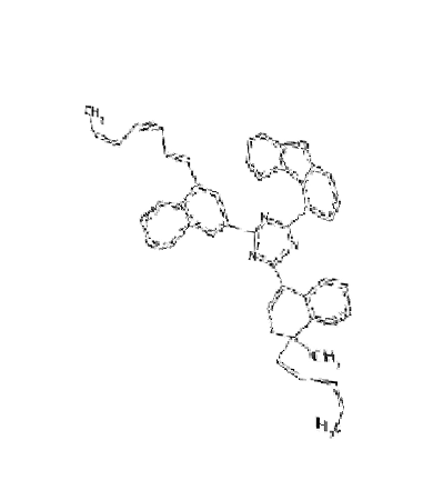 C\C=C/C=C\C=C\c1cc(-c2nc(C3=CCC(C)(/C=C\C=C/C)c4ccccc43)nc(-c3cccc4oc5ccccc5c34)n2)cc2ccccc12